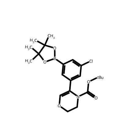 CC(C)(C)OC(=O)N1CCOC=C1c1cc(Cl)cc(B2OC(C)(C)C(C)(C)O2)c1